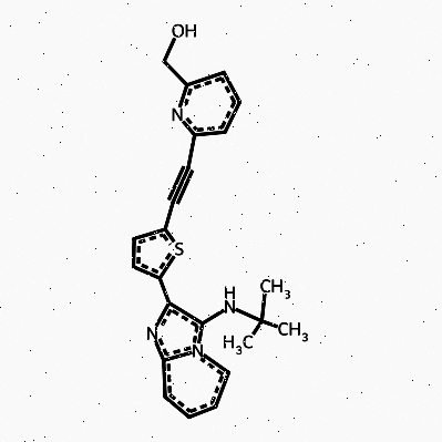 CC(C)(C)Nc1c(-c2ccc(C#Cc3cccc(CO)n3)s2)nc2ccccn12